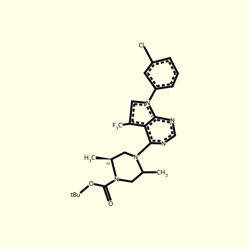 CC1CN(C(=O)OC(C)(C)C)[C@@H](C)CN1c1ncnc2c1c(C(F)(F)F)cn2-c1cccc(Cl)c1